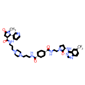 CN1C(=O)C[C@H](C(=O)NCCCN2CCN(CCCNC(=O)[C@H]3CC[C@@H](C(=O)NCCN4CC[C@H](Nc5ncnc6ccc(C(F)(F)F)cc56)C4=O)CC3)CC2)[C@H]1c1cccnc1